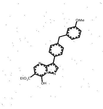 CCOC(=O)c1cnc2c(-c3ccc(Cc4cccc(OC)c4)cc3)cnn2c1O